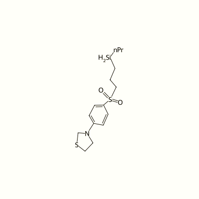 CCC[SiH2]CCCS(=O)(=O)c1ccc(N2CCSC2)cc1